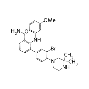 COc1cccc(Nc2c(C(N)=O)cccc2-c2ccc(N3CCNC(C)(C)C3)c(Br)c2)c1